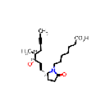 CC#CC[C@H](C)[C@@H](O)C=C[C@H]1CCC(=O)N1CCCCCCC(=O)O